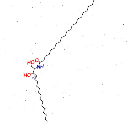 CCCCCCCCCCCCC/C=C/C(O)C(CO)NC(=O)CCCCCCCCCCCCCCCCCCCCCC